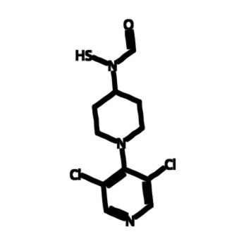 O=CN(S)C1CCN(c2c(Cl)cncc2Cl)CC1